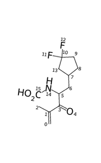 C=C(C)C(=O)C(CC1CCC(F)(F)C1)NC(=O)O